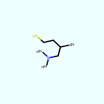 CCCC(CCS)CN(CCC)CCC